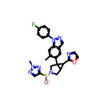 Cc1cc2c(cnn2-c2ccc(F)cc2)cc1C12CN([S+]([O-])c3cnn(C)n3)CC1C2c1ncco1